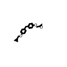 c1cc(OCC2CC2)ccc1Cc1ccc(OCC2CO2)cc1